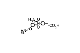 CCNCCOc1ccc2c(c1)c(=O)n(-c1ccc(CCC(=O)O)cc1)c(=O)n2C